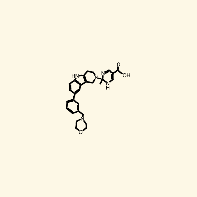 CC1(N2CCc3[nH]c4ccc(-c5cccc(CN6CCOCC6)c5)cc4c3C2)N=CC(C(=O)O)=CN1